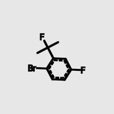 CC(C)(F)c1cc(F)ccc1Br